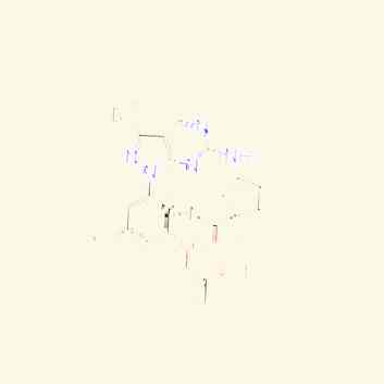 CNC(=O)[C@]1(C)CC[C@@H](Nc2ncc3c(Br)nn(-c4cc(Cl)cc(OCC(C)O)c4)c3n2)C1